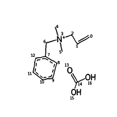 C=CC[N+](C)(C)Cc1ccccc1.O=C(O)O